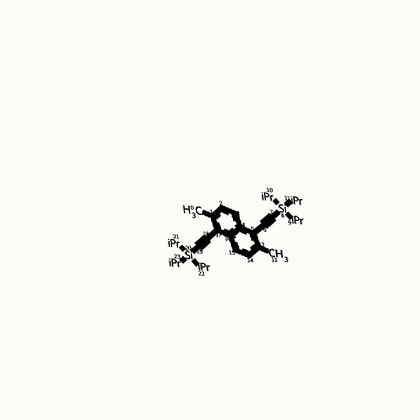 Cc1ccc2c(C#C[Si](C(C)C)(C(C)C)C(C)C)c(C)ccc2c1C#C[Si](C(C)C)(C(C)C)C(C)C